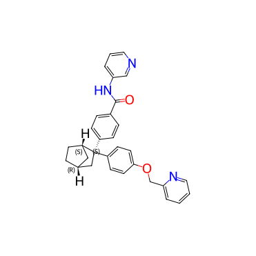 O=C(Nc1cccnc1)c1ccc([C@]2(c3ccc(OCc4ccccn4)cc3)C[C@@H]3CC[C@H]2C3)cc1